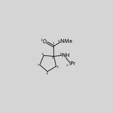 CNC(=O)C1(NC(C)C)CCCC1